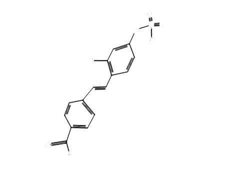 O=C(F)c1ccc(/C=C/c2ccc(OS(=O)(=O)F)cc2Cl)cc1